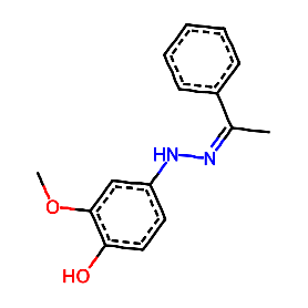 COc1cc(NN=C(C)c2ccccc2)ccc1O